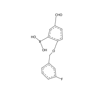 O=Cc1ccc(OCc2cccc(F)c2)c(B(O)O)c1